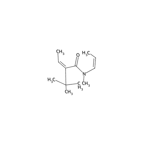 C/C=C\N(C)C(=O)/C(=C\C)C(C)(C)C